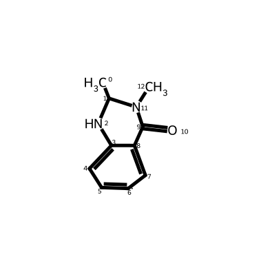 CC1Nc2cc[c]cc2C(=O)N1C